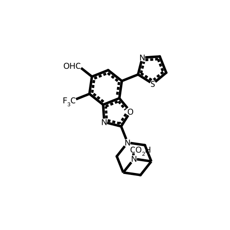 O=Cc1cc(-c2nccs2)c2oc(N3CC4CC(C3)N4C(=O)O)nc2c1C(F)(F)F